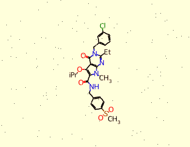 CCc1nc2c(c(OC(C)C)c(C(=O)NCc3ccc(S(C)(=O)=O)cc3)n2C)c(=O)n1Cc1cccc(Cl)c1